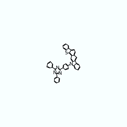 c1ccc(-c2nc(-c3ccccc3)nc(-c3ccc(-n4c5ccccc5c5cc6ccc7c8ccccc8sc7c6cc54)cc3)n2)cc1